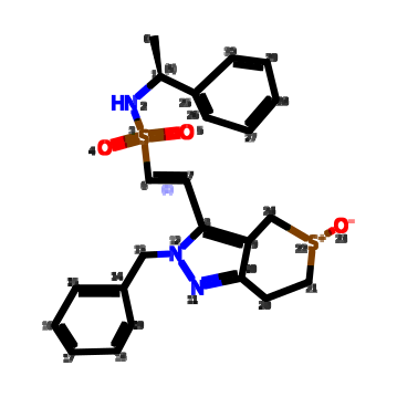 C[C@H](NS(=O)(=O)/C=C/c1c2c(nn1Cc1ccccc1)CC[S+]([O-])C2)c1ccccc1